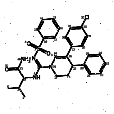 CC(C)C(N/C(=N/S(=O)(=O)c1ccccc1)N1CCC(c2ccccc2)C(c2ccc(Cl)cc2)=N1)C(N)=O